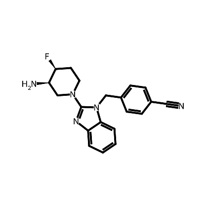 N#Cc1ccc(Cn2c(N3CC[C@H](F)[C@H](N)C3)nc3ccccc32)cc1